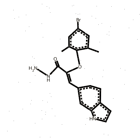 Cc1cc(Br)cc(C)c1OC(=Cc1ccc2cc[nH]c2c1)C(=O)NN